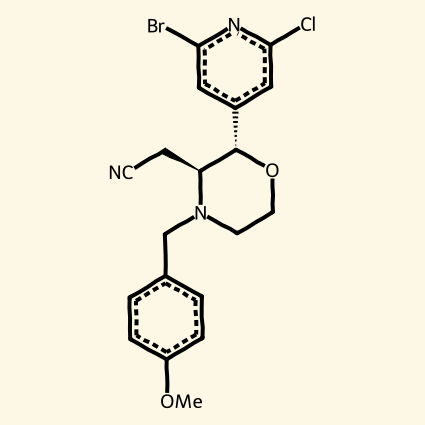 COc1ccc(CN2CCO[C@@H](c3cc(Cl)nc(Br)c3)[C@@H]2CC#N)cc1